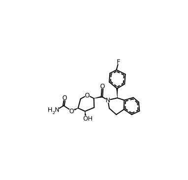 NC(=O)O[C@H]1CO[C@@H](C(=O)N2CCc3ccccc3[C@@H]2c2ccc(F)cc2)C[C@H]1O